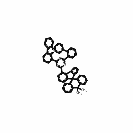 CC1(C)c2ccccc2C2(c3ccccc3-c3c(-c4nc(-c5ccccc5-c5ccccc5)nc(-c5cccc6c5oc5ccccc56)n4)cccc32)c2ccccc21